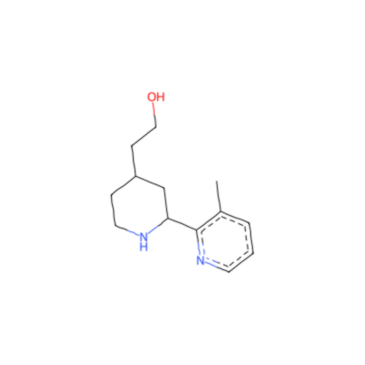 Cc1cccnc1C1CC(CCO)CCN1